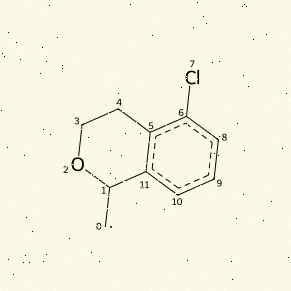 [CH2]C1OCCc2c(Cl)cccc21